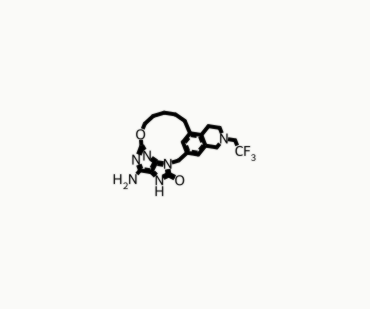 Nc1nc2nc3c1[nH]c(=O)n3Cc1cc(c3c(c1)CN(CC(F)(F)F)CC3)CCCCCO2